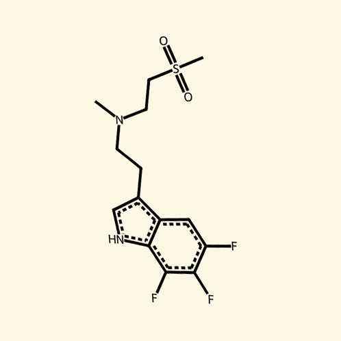 CN(CCc1c[nH]c2c(F)c(F)c(F)cc12)CCS(C)(=O)=O